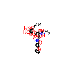 C#CCCO[C@@H]1O[C@H](CO[C@]2(C(=O)O)C[C@H](O)[C@@H](NC(C)=O)[C@H]([C@H](O)[C@H](O)CNC(=O)c3cccc(Oc4ccccc4)c3)O2)[C@H](O)[C@H](O)[C@H]1O